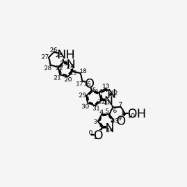 COc1ccc(C(CC(=O)O)n2ncc3c(OCCc4ccc5c(n4)NCCC5)cccc32)cn1